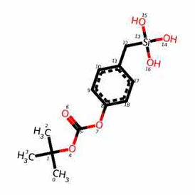 CC(C)(C)OC(=O)Oc1ccc(C[Si](O)(O)O)cc1